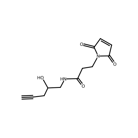 C#CCC(O)CNC(=O)CCN1C(=O)C=CC1=O